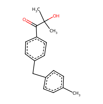 Cc1ccc(Cc2ccc(C(=O)C(C)(C)O)cc2)cc1